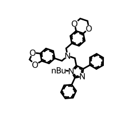 CCCCn1c(-c2ccccc2)nc(-c2ccccc2)c1CN(Cc1ccc2c(c1)OCCO2)Cc1ccc2c(c1)OCO2